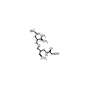 C=CC(CNC(=O)CO)COCC(CNC(C)(C)C)C(=C)C